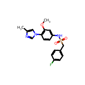 COc1cc(NS(=O)(=O)Cc2ccc(F)cc2)ccc1-n1cnc(C)c1